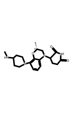 CNC1CCN(c2cccc3c2O[C@H](C)CN3C2CCC(=O)NC2=O)CC1